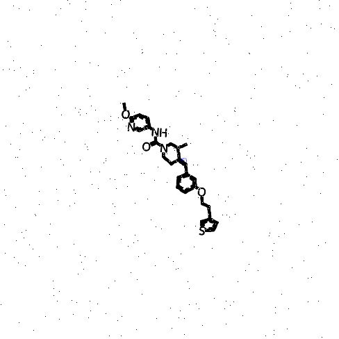 COc1ccc(NC(=O)N2CC/C(=C\c3cccc(OCCc4ccsc4)c3)C(C)C2)cn1